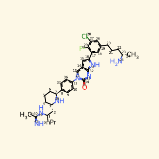 CCC[C@H](C[C@@H]1CCC[C@@H](c2ccc(-n3cc4cc(-c5cc(CCC[C@H](C)N)cc(Cl)c5F)[nH]c4nc3=O)cc2)N1)NC(C)=N